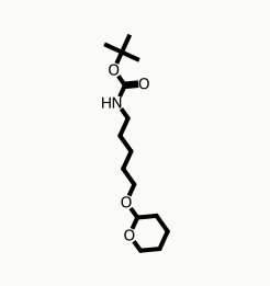 CC(C)(C)OC(=O)NCCCCCOC1CCCCO1